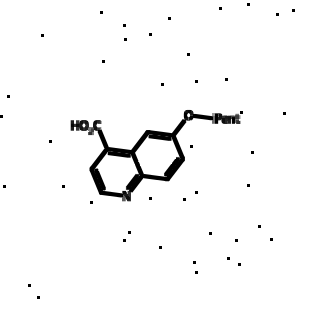 CCCC(C)Oc1ccc2nccc(C(=O)O)c2c1